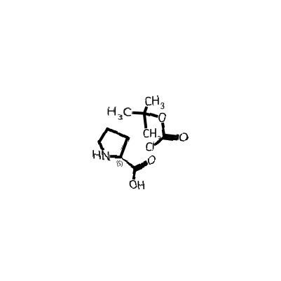 CC(C)(C)OC(=O)Cl.O=C(O)[C@@H]1CCCN1